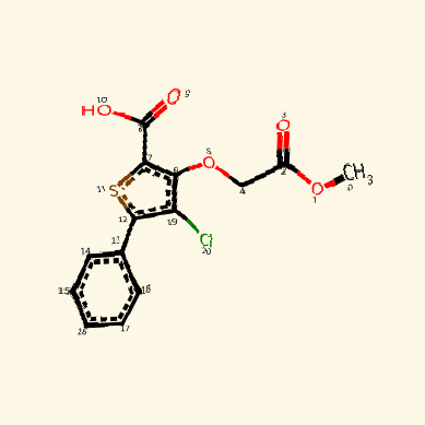 COC(=O)COc1c(C(=O)O)sc(-c2ccccc2)c1Cl